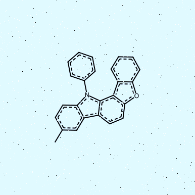 Cc1ccc2c(c1)c1ccc3oc4ccccc4c3c1n2-c1ccccc1